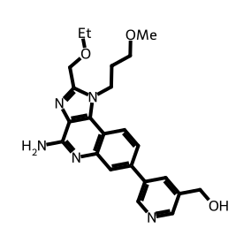 CCOCc1nc2c(N)nc3cc(-c4cncc(CO)c4)ccc3c2n1CCCOC